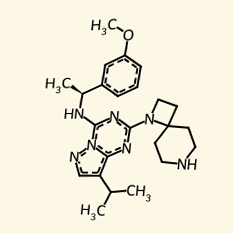 COc1cccc([C@H](C)Nc2nc(N3CCC34CCNCC4)nc3c(C(C)C)cnn23)c1